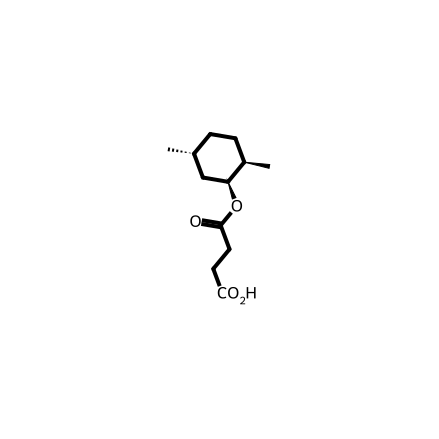 C[C@@H]1CC[C@@H](C)[C@@H](OC(=O)CCC(=O)O)C1